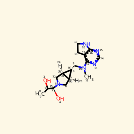 CC(O)[C@H](O)N1C[C@@H]2[C@@H](CN(C)c3ncnc4c3CCN4)[C@@H]2C1